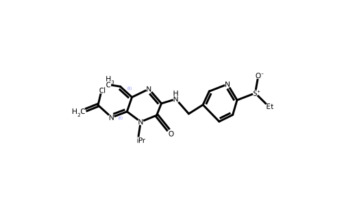 C=C(Cl)/N=C1\C(=C/C)N=C(NCc2ccc([S+]([O-])CC)nc2)C(=O)N1C(C)C